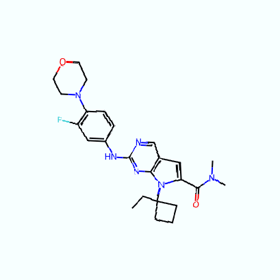 CCC1(n2c(C(=O)N(C)C)cc3cnc(Nc4ccc(N5CCOCC5)c(F)c4)nc32)CCC1